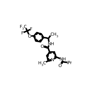 Cc1cc(C(=O)NC(C)c2ccc(OC(F)(F)C(F)(F)F)cc2)cc(NC(=O)C(C)C)n1